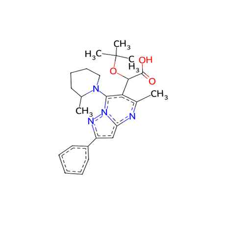 Cc1nc2cc(-c3ccccc3)nn2c(N2CCCCC2C)c1C(OC(C)(C)C)C(=O)O